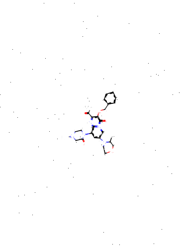 COC(=O)c1nc2c(N3CCN(C)CC3=O)cc(N3CCOCC3C)cn2c(=O)c1OCc1ccccc1